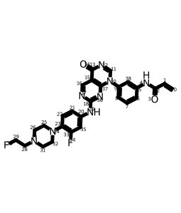 C=CC(=O)Nc1cccc(-n2cnc(=O)c3cnc(Nc4ccc(N5CCN(CCF)CC5)c(F)c4)nc32)c1